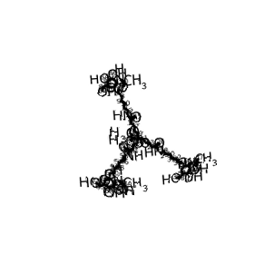 CC(=O)NC1[C@H](OCCCCCCNC(=O)CCOCC(COCCC(=O)NCCCCCCO[C@@H]2CC(CO)[C@H](O)[C@H](O)C2NC(C)=O)(OCCC(=O)NCCCCCCO[C@@H]2OC(CO)[C@H](O)[C@H](O)C2NC(C)=O)C(C)C)OC(CO)[C@H](O)[C@@H]1O